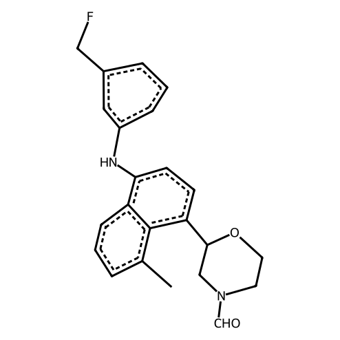 Cc1cccc2c(Nc3cccc(CF)c3)ccc(C3CN(C=O)CCO3)c12